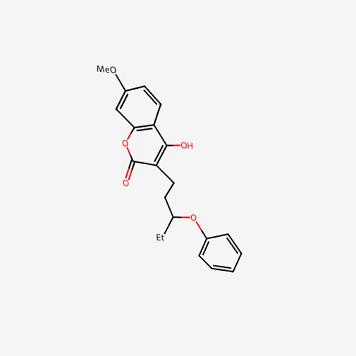 CCC(CCc1c(O)c2ccc(OC)cc2oc1=O)Oc1ccccc1